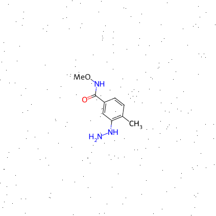 CONC(=O)c1ccc(C)c(NN)c1